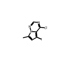 Cc1cc(I)c2c(Cl)ncnn12